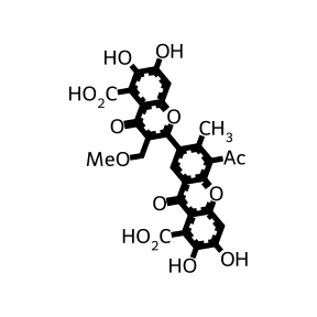 COCc1c(-c2cc3c(=O)c4c(C(=O)O)c(O)c(O)cc4oc3c(C(C)=O)c2C)oc2cc(O)c(O)c(C(=O)O)c2c1=O